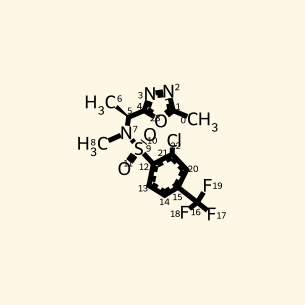 Cc1nnc([C@H](C)N(C)S(=O)(=O)c2ccc(C(F)(F)F)cc2Cl)o1